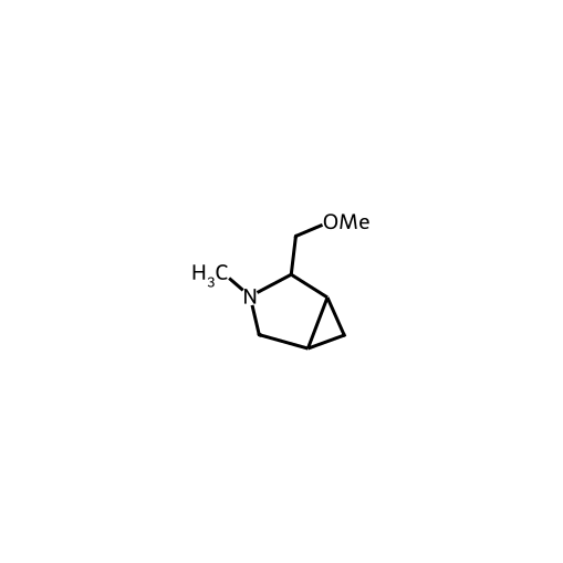 COCC1C2CC2CN1C